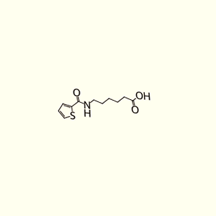 O=C(O)CCCCCNC(=O)c1cccs1